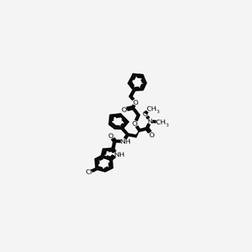 CON(C)C(=O)[C@@H](CC(NC(=O)c1cc2cc(Cl)ccc2[nH]1)c1ccccc1)OCC(=O)OCc1ccccc1